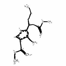 CCCC(C(=O)OC)c1scc(C(=O)OC)c1N